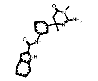 CN1C(=O)CC(C)(c2cccc(NC(=O)c3cc4ccccc4[nH]3)c2)N=C1N